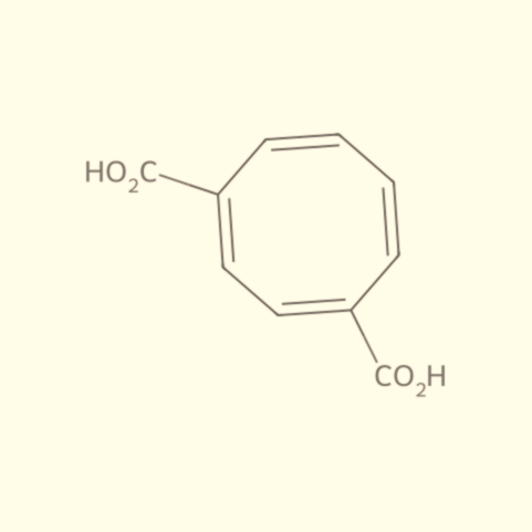 O=C(O)C1=CC=C(C(=O)O)C=CC=C1